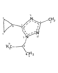 Cc1nc(C2CC2)n(C(C)C)n1